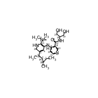 CC1[C@@H]([C@H](C)C2=CC(Nc3ccncc3C(=O)NC(CO)CO)=C(N(C)C)NC2)[C@H]1C